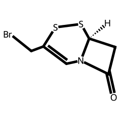 O=C1C[C@@H]2SSC(CBr)=CN12